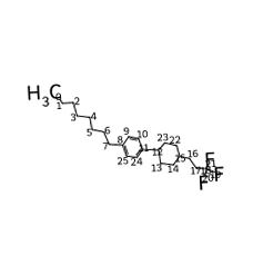 CCCCCCCCc1ccc(C2CCC(CCC(F)(F)F)CC2)cc1